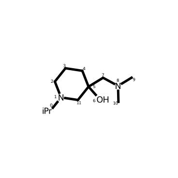 CC(C)N1CCCC(O)(CN(C)C)C1